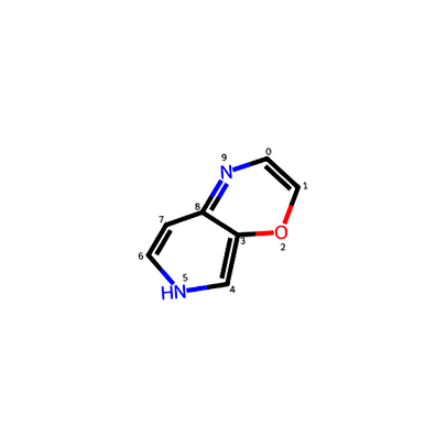 C1=COC2=CNC=CC2=N1